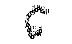 Cc1cc(OCCCC2(F)CCN(CC(=O)Nc3ccc4c(C5CCC(=O)NC5=O)nn(C)c4c3)CC2)ccc1-c1ccc(N2CCc3cccc(C(=O)Nc4nc5ccccc5s4)c3C2)nc1C(=O)O